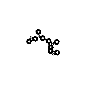 c1ccc(N(c2ccc(-c3ccc4c(c3)c3cc5ccc6sc7ccccc7c6c5cc3n4-c3ccccc3)cc2)c2ccc3c(c2)sc2ccccc23)cc1